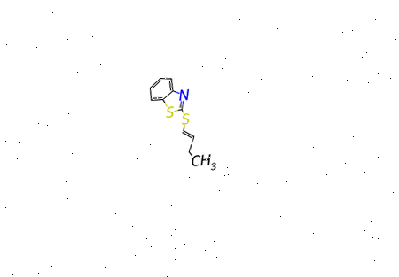 CC/C=C/Sc1nc2ccccc2s1